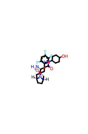 N[C@H](Cc1cc(F)c(F)cc1F)[C@@H]1C[C@H]2CC[C@@H](C1)N2C(=O)CCC(=O)NC1CCC(O)CC1